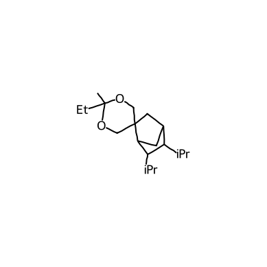 CCC1(C)OCC2(CO1)CC1CC2C(C(C)C)C1C(C)C